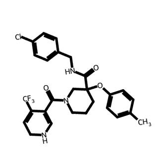 Cc1ccc(OC2(C(=O)NCc3ccc(Cl)cc3)CCCN(C(=O)C3=CNCC=C3C(F)(F)F)C2)cc1